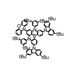 CC(C)(C)c1cc(N2c3cc(-n4c5ccc(C(C)(C)C)cc5c5cc(C(C)(C)C)ccc54)ccc3B3c4ccc(-n5c6ccc(C(C)(C)C)cc6c6cc(C(C)(C)C)ccc65)cc4N(c4cc(C(C)(C)C)cc(C(C)(C)C)c4)c4cc(N5c6ccccc6Oc6ccccc65)cc2c43)cc(C(C)(C)C)c1